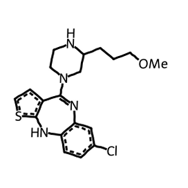 COCCCC1CN(C2=Nc3cc(Cl)ccc3Nc3sccc32)CCN1